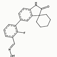 O=C1Nc2ccc(-c3cccc(C=NO)c3F)cc2C12CCCCC2